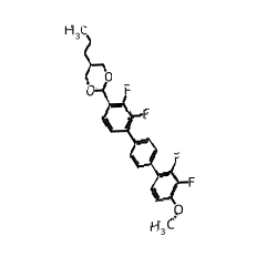 CCCC1COC(c2ccc(-c3ccc(-c4ccc(OC)c(F)c4F)cc3)c(F)c2F)OC1